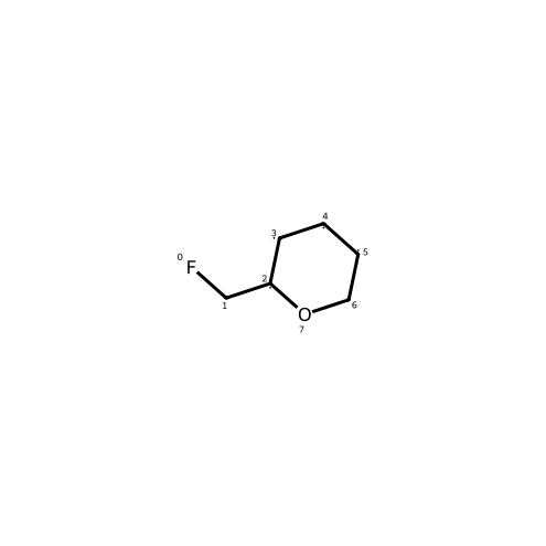 FC[C]1[CH][CH][CH]CO1